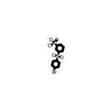 O=S(=O)(Cl)c1cccc(S(=O)(=O)c2ccc(Br)cc2)c1